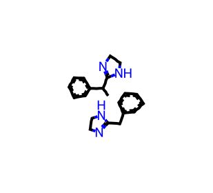 CC(C1=NCCN1)c1ccccc1.c1ccc(CC2=NCCN2)cc1